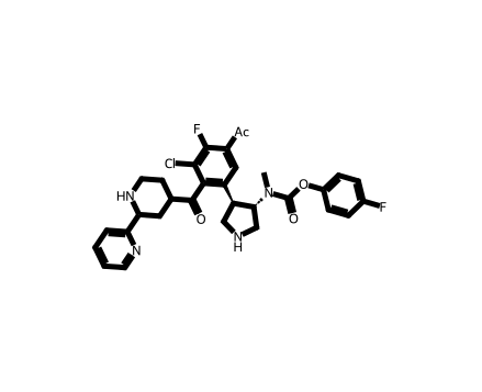 CC(=O)c1cc([C@@H]2CNC[C@H]2N(C)C(=O)Oc2ccc(F)cc2)c(C(=O)C2CCNC(c3ccccn3)C2)c(Cl)c1F